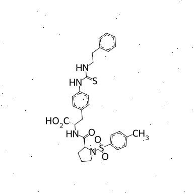 Cc1ccc(S(=O)(=O)N2CCC[C@H]2C(=O)N[C@@H](Cc2ccc(NC(=S)NCCc3ccccc3)cc2)C(=O)O)cc1